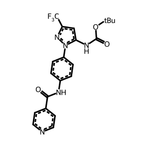 CC(C)(C)OC(=O)Nc1cc(C(F)(F)F)nn1-c1ccc(NC(=O)c2ccncc2)cc1